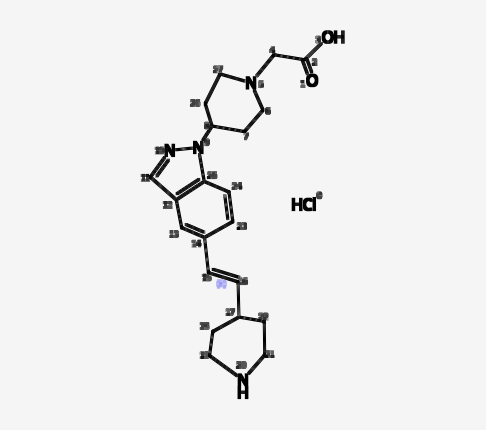 Cl.O=C(O)CN1CCC(n2ncc3cc(/C=C/C4CCNCC4)ccc32)CC1